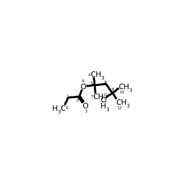 CCC(=O)OC(C)(C)CC(C)(C)C